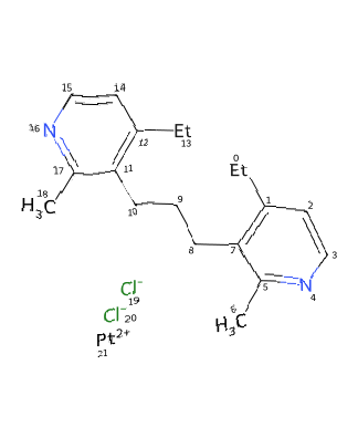 CCc1ccnc(C)c1CCCc1c(CC)ccnc1C.[Cl-].[Cl-].[Pt+2]